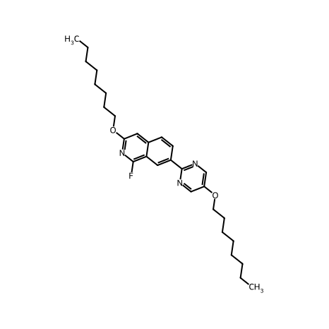 CCCCCCCCOc1cnc(-c2ccc3cc(OCCCCCCCC)nc(F)c3c2)nc1